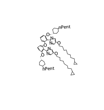 CCCCC[C@H]1CC[C@H](COc2cccc(Oc3cccc(OC[C@H]4CC[C@H](CCCCC)CC4)c3-c3ncc(OCCCCCCCCC4CC4)cn3)c2-c2ncc(OCCCCCCCCC3CC3)cn2)CC1